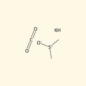 C[S+](C)[O-].O=C=O.[KH]